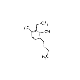 CCCCc1ccc(O)c(CC)c1O